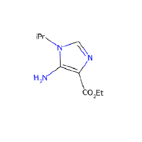 CCOC(=O)c1ncn(C(C)C)c1N